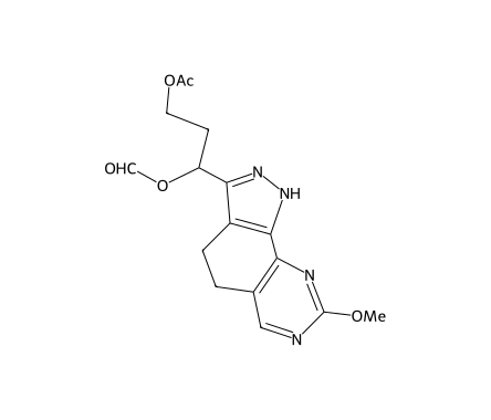 COc1ncc2c(n1)-c1[nH]nc(C(CCOC(C)=O)OC=O)c1CC2